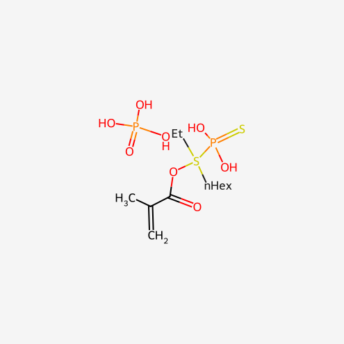 C=C(C)C(=O)OS(CC)(CCCCCC)P(O)(O)=S.O=P(O)(O)O